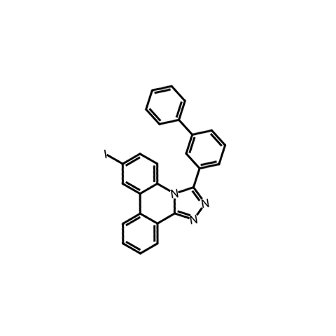 Ic1ccc2c(c1)c1ccccc1c1nnc(-c3cccc(-c4ccccc4)c3)n21